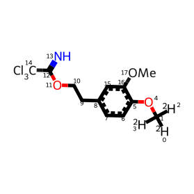 [2H]C([2H])([2H])Oc1ccc(CCOC(=N)C(Cl)(Cl)Cl)cc1OC